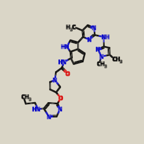 CCCNc1cc(OC2CCN(CC(=O)Nc3cccc4c(-c5nc(Nc6cc(C)n(C)n6)ncc5C)c[nH]c34)C2)ncn1